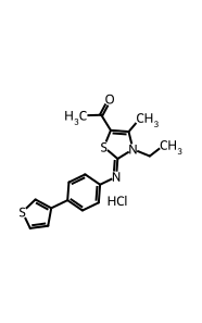 CCn1c(C)c(C(C)=O)s/c1=N\c1ccc(-c2ccsc2)cc1.Cl